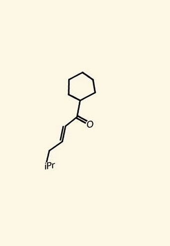 CC(C)CC=CC(=O)C1CCCCC1